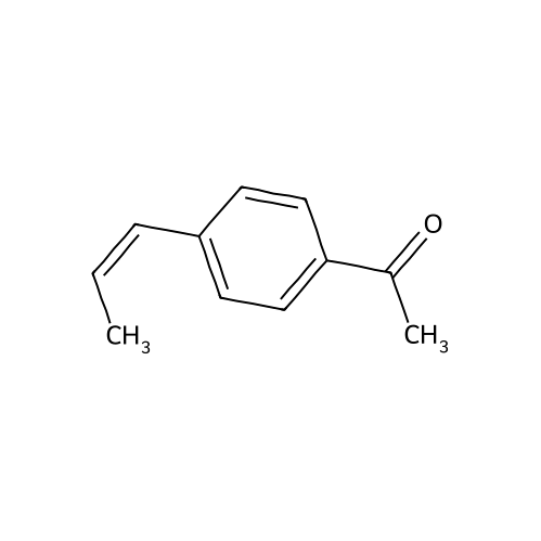 C/C=C\c1ccc(C(C)=O)cc1